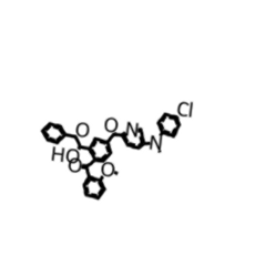 COc1ccccc1C(=O)c1ccc(C(=O)c2ccc(N(C)c3ccc(Cl)cc3)cn2)cc1C(O)C(=O)c1ccccc1